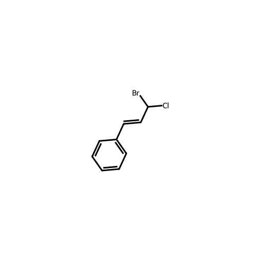 ClC(Br)C=Cc1ccccc1